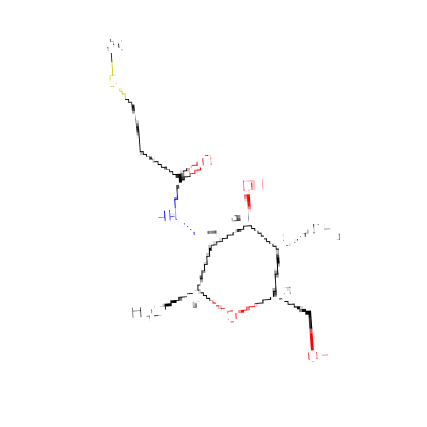 CC(=O)SCCC(=O)N[C@@H]1[C@@H](O)[C@H](C)[C@@H](CO)O[C@H]1C